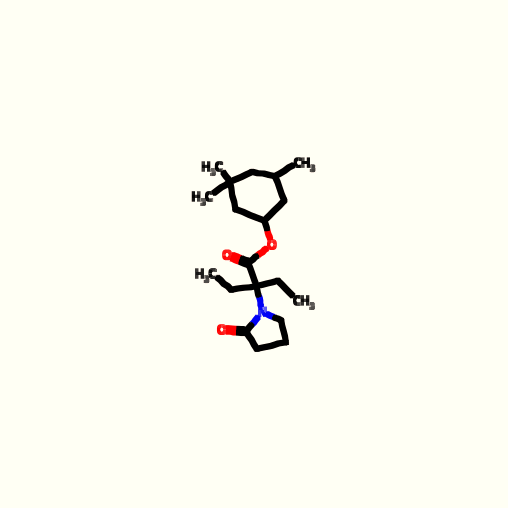 CCC(CC)(C(=O)OC1CC(C)CC(C)(C)C1)N1CCCC1=O